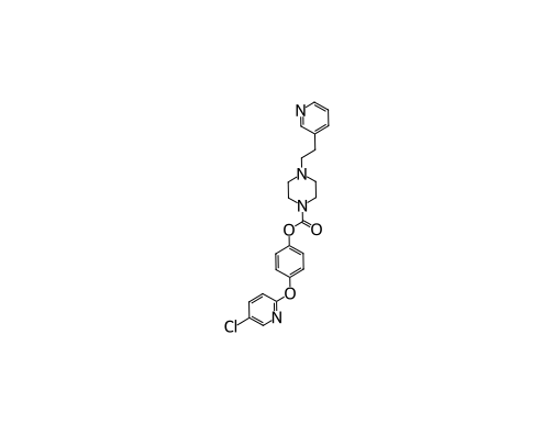 O=C(Oc1ccc(Oc2ccc(Cl)cn2)cc1)N1CCN(CCc2cccnc2)CC1